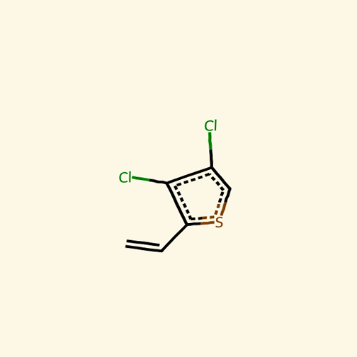 C=Cc1scc(Cl)c1Cl